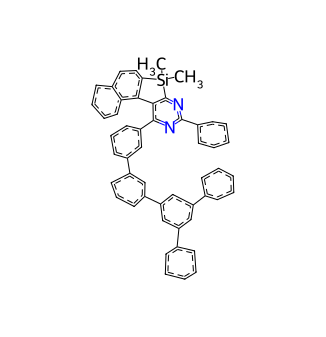 C[Si]1(C)c2ccc3ccccc3c2-c2c(-c3cccc(-c4cccc(-c5cc(-c6ccccc6)cc(-c6ccccc6)c5)c4)c3)nc(-c3ccccc3)nc21